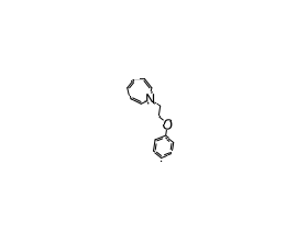 [c]1ccc(OCCN2C=CC=CC=C2)cc1